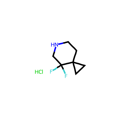 Cl.FC1(F)CNCCC12CC2